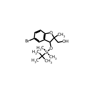 CC1(CO)Oc2ccc(Br)cc2C1O[Si](C)(C)C(C)(C)C